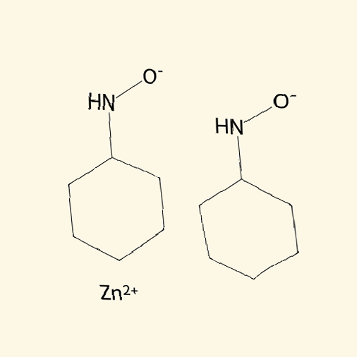 [O-]NC1CCCCC1.[O-]NC1CCCCC1.[Zn+2]